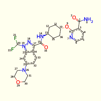 NC(=O)c1cccnc1O[C@H]1CC[C@H](NC(=O)c2nn(C(F)F)c3cc(N4CCOCC4)ccc23)CC1